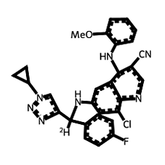 [2H]C(Nc1cc(Cl)c2ncc(C#N)c(Nc3ccccc3OC)c2c1)(c1ccc(F)cc1)c1cn(C2CC2)nn1